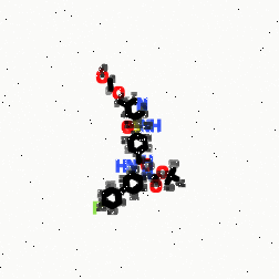 COCCOCc1cncc(S(=N)(=O)c2ccc(C(=O)Nc3cc(-c4ccc(F)cc4)ccc3NC(=O)OC(C)(C)C)cc2)c1